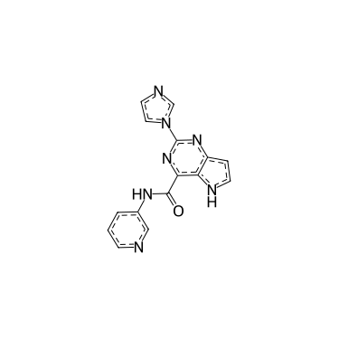 O=C(Nc1cccnc1)c1nc(-n2ccnc2)nc2cc[nH]c12